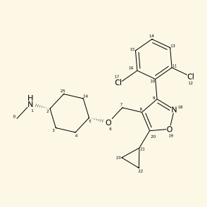 CN[C@H]1CC[C@@H](OCc2c(-c3c(Cl)cccc3Cl)noc2C2CC2)CC1